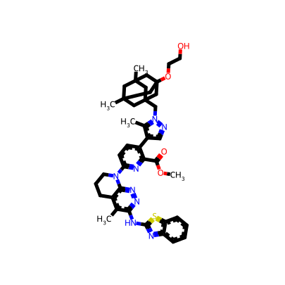 COC(=O)c1nc(N2CCCc3c2nnc(Nc2nc4ccccc4s2)c3C)ccc1-c1cnn(CC23CC4(C)CC(C)(C2)CC(OCCO)(C4)C3)c1C